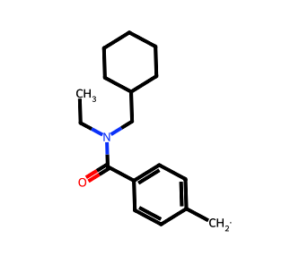 [CH2]c1ccc(C(=O)N(CC)CC2CCCCC2)cc1